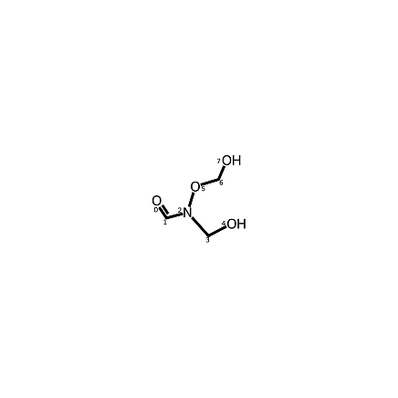 O=CN(CO)OCO